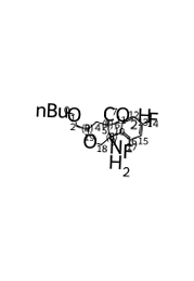 CCCCOC[C@H]1C[C@@](C)(C(=O)O)[C@](N)(c2ccc(F)cc2F)CO1